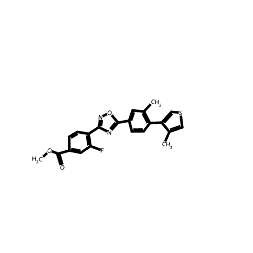 COC(=O)c1ccc(-c2noc(-c3ccc(-c4cscc4C)c(C)c3)n2)c(F)c1